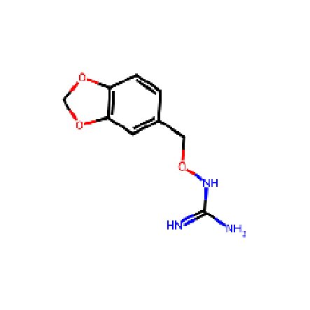 N=C(N)NOCc1ccc2c(c1)OCO2